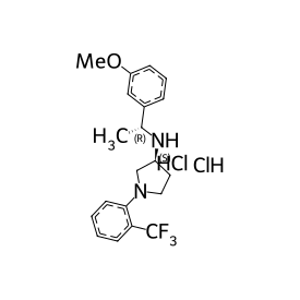 COc1cccc([C@@H](C)N[C@H]2CCN(c3ccccc3C(F)(F)F)C2)c1.Cl.Cl